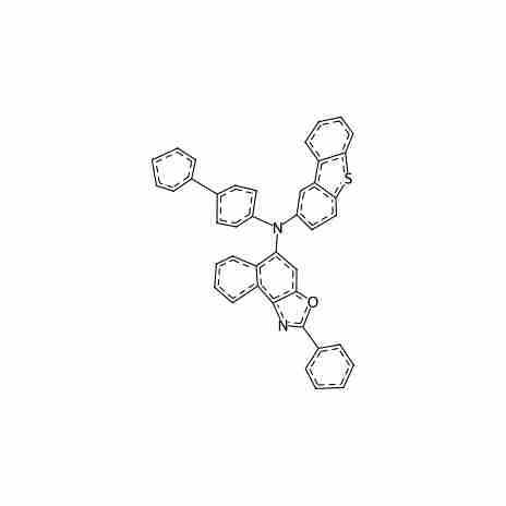 c1ccc(-c2ccc(N(c3ccc4sc5ccccc5c4c3)c3cc4oc(-c5ccccc5)nc4c4ccccc34)cc2)cc1